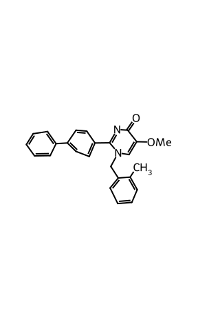 COc1cn(Cc2ccccc2C)c(-c2ccc(-c3ccccc3)cc2)nc1=O